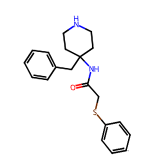 O=C(CSc1cc[c]cc1)NC1(Cc2ccccc2)CCNCC1